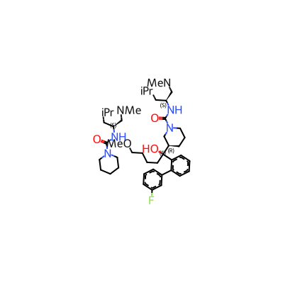 CNC[C@H](CC(C)C)NC(=O)N1CCCCC1.CNC[C@H](CC(C)C)NC(=O)N1CCC[C@@H]([C@@](O)(CCCCOC)c2ccccc2-c2cccc(F)c2)C1